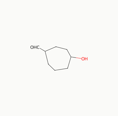 O=CC1CCCC(O)CC1